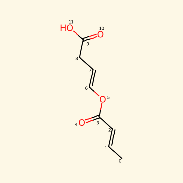 CC=CC(=O)OC=CCC(=O)O